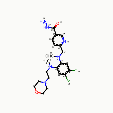 CN(CCN1CCOCC1)c1cc(Br)c(F)cc1N(C=O)Cc1ccc(C(=O)NN)cn1